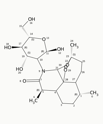 C[C@@H]1CCC2[C@@H](C)C(=O)N(C3[C@H](O)O[C@@H](CO)[C@H](O)[C@H]3O)C3O[C@]4(C)CCC1C23OO4